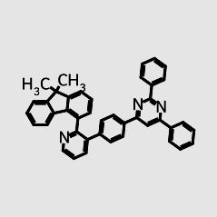 CC1(C)c2ccccc2-c2c(-c3ncccc3-c3ccc(-c4cc(-c5ccccc5)nc(-c5ccccc5)n4)cc3)cccc21